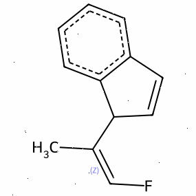 C/C(=C/F)C1C=Cc2ccccc21